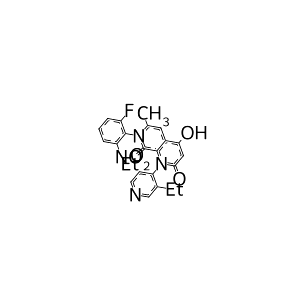 CCc1cncc(CC)c1-n1c(=O)cc(O)c2cc(C)n(-c3c(F)cccc3[N+](=O)[O-])c(=O)c21